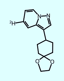 [2H]c1ccn2ncc(C3CCC4(CC3)OCCO4)c2c1